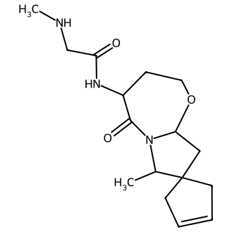 CNCC(=O)NC1CCOC2CC3(CC=CC3)C(C)N2C1=O